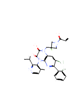 C=CC(=O)N1CC(F)(Cn2c(=O)c(=O)n(-c3c(C)ccnc3C(C)C)c3nc(-c4ccccc4Cl)c(Cl)cc32)C1